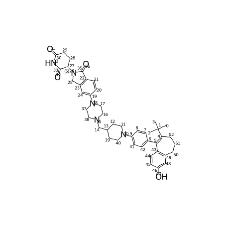 CC(C)(C)C1=C(c2ccc(N3CCC(CN4CCN(c5ccc6c(c5)CN([C@H]5CCC(=O)NC5=O)C6=O)CC4)CC3)cc2)c2ccc(O)cc2CCC1